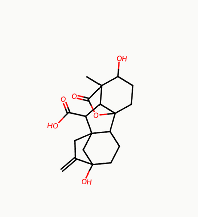 C=C1CC23CC1(O)CCC2C12CCC(O)C(C)(C(=O)O1)C2C3C(=O)O